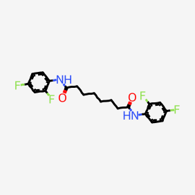 O=C(CCCCCCC(=O)Nc1ccc(F)cc1F)Nc1ccc(F)cc1F